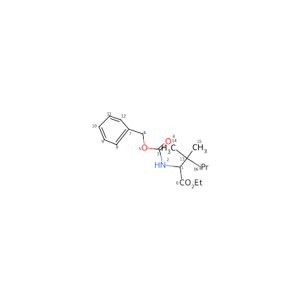 CCOC(=O)C(NC(=O)OCc1ccccc1)C(C)(C)C(C)C